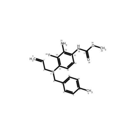 C=CCN(Cc1ccc(C)cc1)c1ccc(NC(=O)OC)c(N)c1F